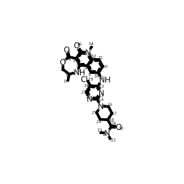 CC1COC(=O)c2c(c3cc(Nc4nc(N5CCC(C(=O)N(C)C)CC5)ncc4Cl)ccc3n(C)c2=O)N1